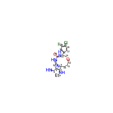 CCNc1c(C=N)cc2nc1CCCOC[C@H](c1ccc(Cl)c(F)c1)NC(=O)N2